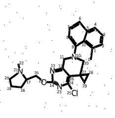 Cc1cccc2cccc(N3Cc4nc(OCC5CCCN5C)nc(Cl)c4C4(CC4)C3)c12